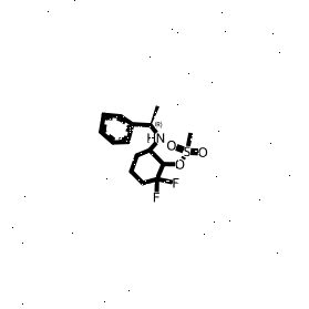 C[C@@H](NC1CCCC(F)(F)C1OS(C)(=O)=O)c1ccccc1